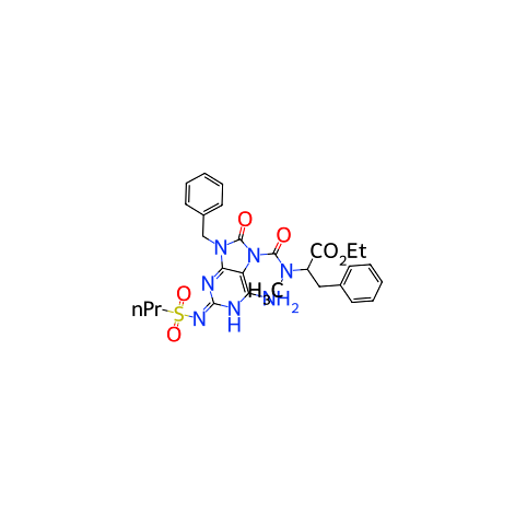 CCCS(=O)(=O)N=c1nc2c(c(N)[nH]1)n(C(=O)N(C)C(Cc1ccccc1)C(=O)OCC)c(=O)n2Cc1ccccc1